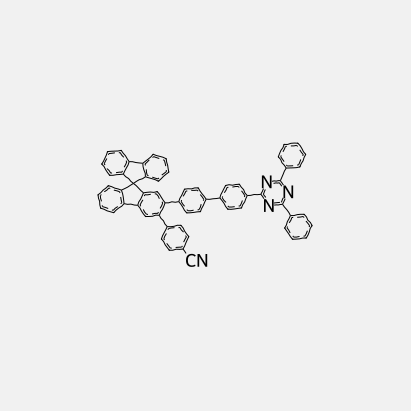 N#Cc1ccc(-c2cc3c(cc2-c2ccc(-c4ccc(-c5nc(-c6ccccc6)nc(-c6ccccc6)n5)cc4)cc2)C2(c4ccccc4-c4ccccc42)c2ccccc2-3)cc1